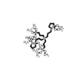 CO[Si](CCC[Si](CCCN1CCC[Si]1(OC)OC)(CCC[Si](OC)(OC)OC)CCC[Si]1(OC)CCCN1[Si](C)(C)C)(OC)OC